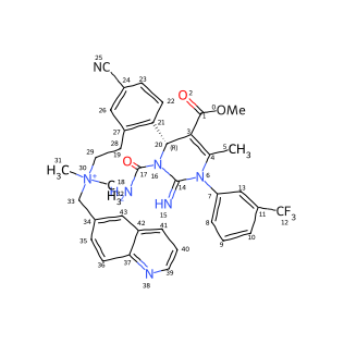 COC(=O)C1=C(C)N(c2cccc(C(F)(F)F)c2)C(=N)N(C(N)=O)[C@@H]1c1ccc(C#N)cc1CC[N+](C)(C)Cc1ccc2ncccc2c1